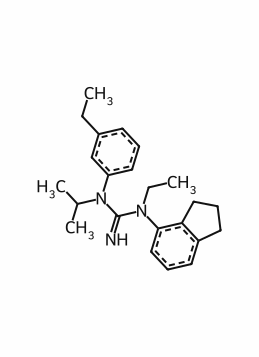 CCc1cccc(N(C(=N)N(CC)c2cccc3c2CCC3)C(C)C)c1